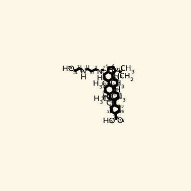 C=C(C)[C@@H]1CC[C@]2(CNCCCNCCO)CC[C@]3(C)[C@H](CC[C@@H]4[C@@]5(C)CC=C(c6ccc(C(=O)O)cc6)C(C)(C)[C@@H]5CC[C@]43C)[C@@H]12